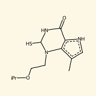 Cc1c[nH]c2c1N(CCOC(C)C)C(S)NC2=O